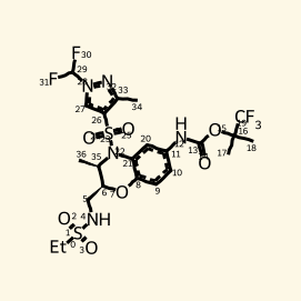 CCS(=O)(=O)NC[C@@H]1Oc2ccc(NC(=O)OC(C)(C)C(F)(F)F)cc2N(S(=O)(=O)c2cn(C(F)F)nc2C)[C@@H]1C